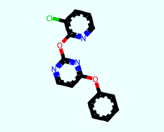 Clc1cccnc1Oc1nccc(Oc2ccccc2)n1